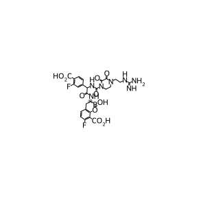 N=C(N)NCCN1CCN(C(=O)NC(C(=O)N[C@H]2Cc3ccc(F)c(C(=O)O)c3OB2O)c2ccc(C(=O)O)c(F)c2)C(=O)C1=O